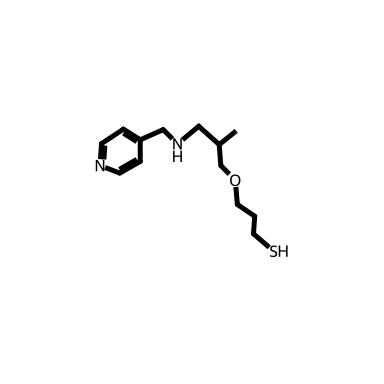 CC(CNCc1ccncc1)COCCCS